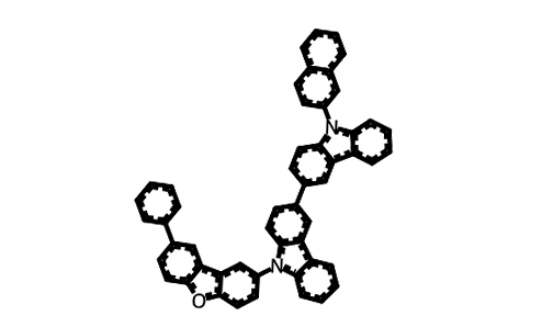 c1ccc(-c2ccc3oc4ccc(-n5c6ccccc6c6cc(-c7ccc8c(c7)c7ccccc7n8-c7ccc8ccccc8c7)ccc65)cc4c3c2)cc1